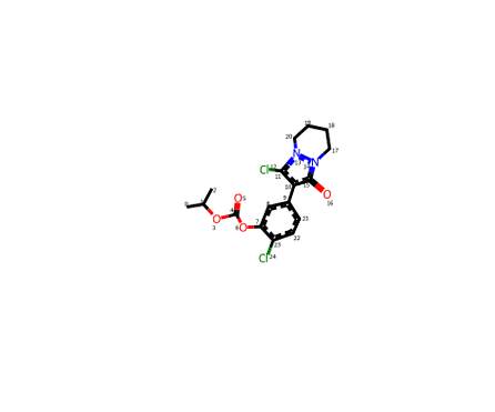 CC(C)OC(=O)Oc1cc(-c2c(Cl)n3n(c2=O)CCCC3)ccc1Cl